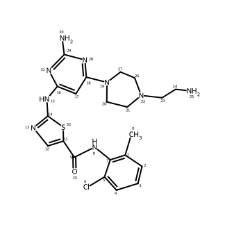 Cc1cccc(Cl)c1NC(=O)c1cnc(Nc2cc(N3CCN(CCN)CC3)nc(N)n2)s1